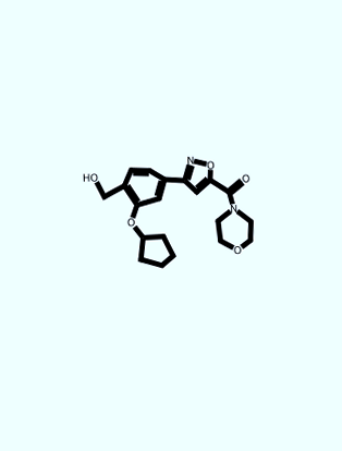 O=C(c1cc(-c2ccc(CO)c(OC3CCCC3)c2)no1)N1CCOCC1